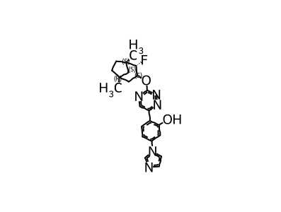 C[C@@]12CC[C@@](C)(C1)[C@H](F)[C@@H](Oc1ncc(-c3ccc(-n4ccnc4)cc3O)nn1)C2